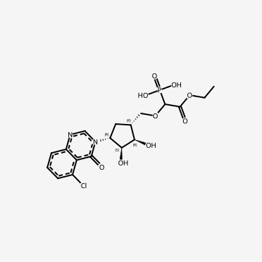 CCOC(=O)C(OC[C@H]1C[C@@H](n2cnc3cccc(Cl)c3c2=O)[C@H](O)[C@@H]1O)P(=O)(O)O